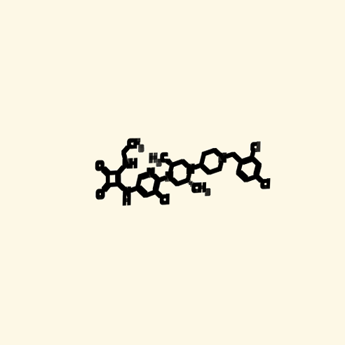 C[C@@H]1CN(c2ncc(Nc3c(NCC(F)(F)F)c(=O)c3=O)cc2Cl)[C@@H](C)CN1C1CCN(Cc2ccc(Cl)cc2Cl)CC1